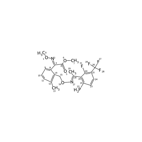 CO/N=C(/C(=O)OC)c1cccc(C)c1CO/N=C(\C)c1c(P)ccc(C(F)(F)F)c1F